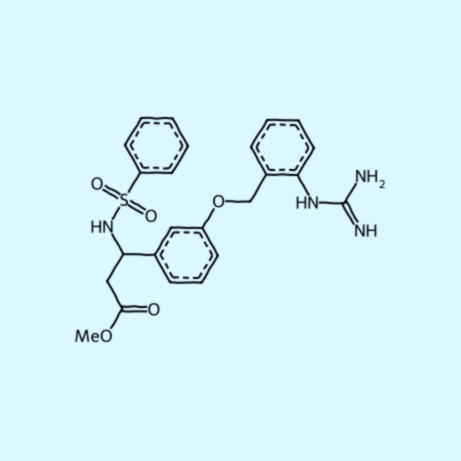 COC(=O)CC(NS(=O)(=O)c1ccccc1)c1cccc(OCc2ccccc2NC(=N)N)c1